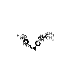 COC(C)c1noc(N2CCC([C@H]3C[C@H]3CCOc3ccc(S(C)(=O)=O)cn3)CC2)n1